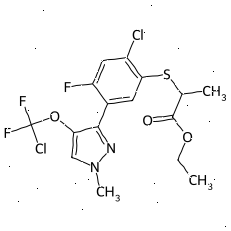 CCOC(=O)C(C)Sc1cc(-c2nn(C)cc2OC(F)(F)Cl)c(F)cc1Cl